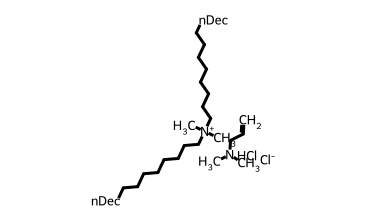 C=CCN(C)C.CCCCCCCCCCCCCCCCCC[N+](C)(C)CCCCCCCCCCCCCCCCCC.Cl.[Cl-]